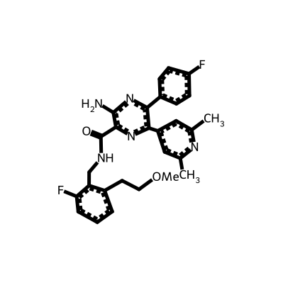 COCCc1cccc(F)c1CNC(=O)c1nc(-c2cc(C)nc(C)c2)c(-c2ccc(F)cc2)nc1N